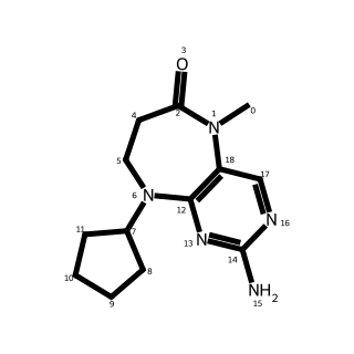 CN1C(=O)CCN(C2CCCC2)c2nc(N)ncc21